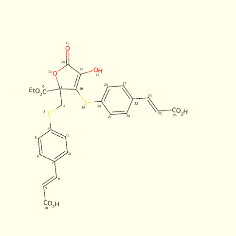 CCOC(=O)C1(CSc2ccc(C=CC(=O)O)cc2)OC(=O)C(O)=C1Sc1ccc(C=CC(=O)O)cc1